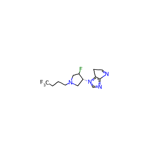 FC1CN(CCCC(F)(F)F)C[C@H]1n1cnc2c1CC=N2